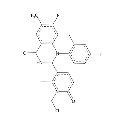 Cc1cc(F)ccc1N1c2cc(F)c(C(F)(F)F)cc2C(=O)NC1c1ccc(=O)n(CCl)c1C